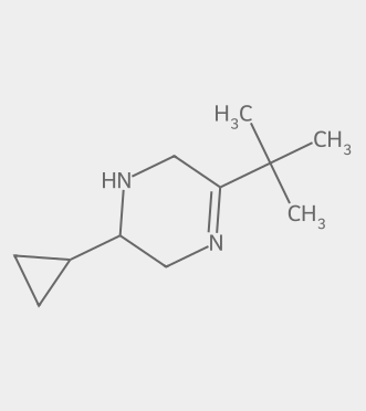 CC(C)(C)C1=NCC(C2CC2)NC1